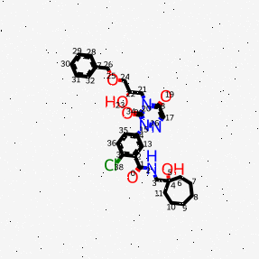 O=C(NCC1(O)CCCCCC1)c1cc(-n2ncc(=O)n(C[C@@H](O)COCc3ccccc3)c2=O)ccc1Cl